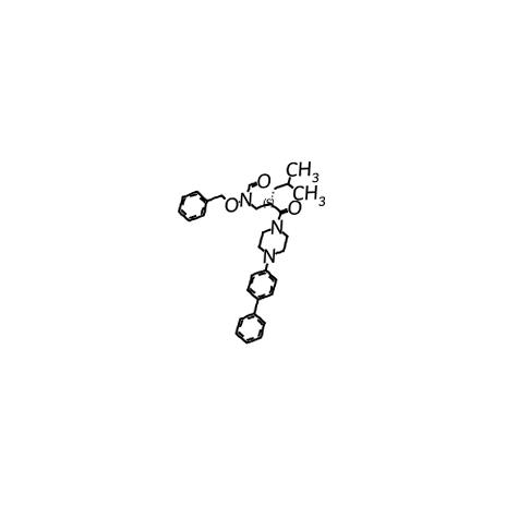 CC(C)C[C@@H](CN(C=O)OCc1ccccc1)C(=O)N1CCN(c2ccc(-c3ccccc3)cc2)CC1